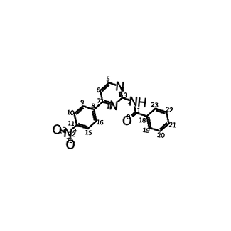 O=C(Nc1nccc(-c2ccc([N+](=O)[O-])cc2)n1)c1ccccc1